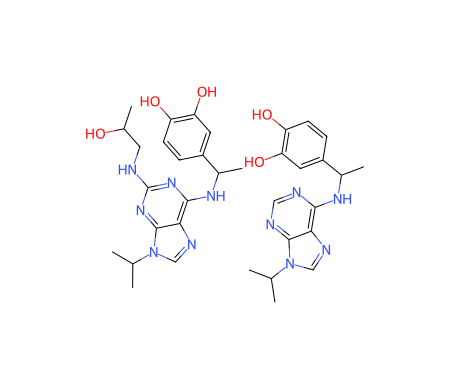 CC(Nc1ncnc2c1ncn2C(C)C)c1ccc(O)c(O)c1.CC(O)CNc1nc(NC(C)c2ccc(O)c(O)c2)c2ncn(C(C)C)c2n1